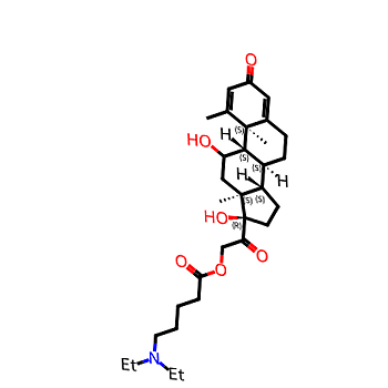 CCN(CC)CCCCC(=O)OCC(=O)[C@@]1(O)CC[C@H]2[C@@H]3CCC4=CC(=O)C=C(C)[C@]4(C)[C@H]3C(O)C[C@@]21C